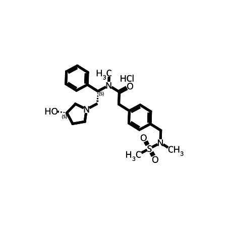 CN(C(=O)Cc1ccc(CN(C)S(C)(=O)=O)cc1)[C@H](CN1CC[C@H](O)C1)c1ccccc1.Cl